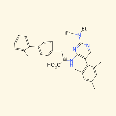 CCN(c1ncc(-c2c(C)cc(C)cc2C)c(N[C@@H](Cc2ccc(-c3ccccc3C)cc2)C(=O)O)n1)C(C)C